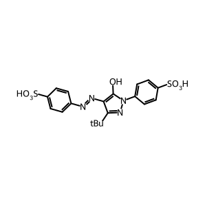 CC(C)(C)c1nn(-c2ccc(S(=O)(=O)O)cc2)c(O)c1/N=N/c1ccc(S(=O)(=O)O)cc1